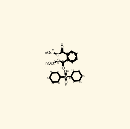 CCCCCCCCOC(=O)c1ccccc1C(=O)OCCCCCCCC.O=S(=O)(C1CCCCC1)C1CCCCC1